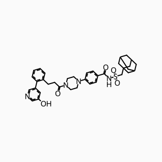 O=C(NS(=O)(=O)CC12CC3CC(CC(C3)C1)C2)c1ccc(N2CCN(C(=O)CCc3ccccc3-c3cncc(O)c3)CC2)cc1